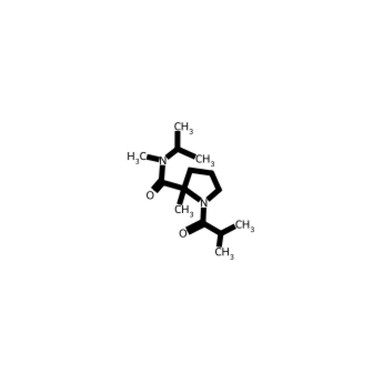 CC(C)C(=O)N1CCCC1(C)C(=O)N(C)C(C)C